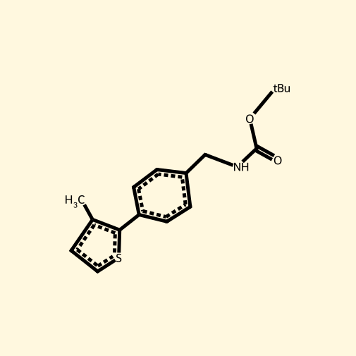 Cc1ccsc1-c1ccc(CNC(=O)OC(C)(C)C)cc1